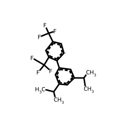 CC(C)c1cc(-c2[c]cc(C(F)(F)F)cc2C(F)(F)F)cc(C(C)C)c1